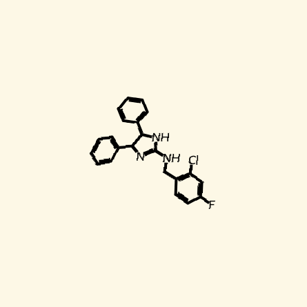 Fc1ccc(CNC2=NC(c3ccccc3)C(c3ccccc3)N2)c(Cl)c1